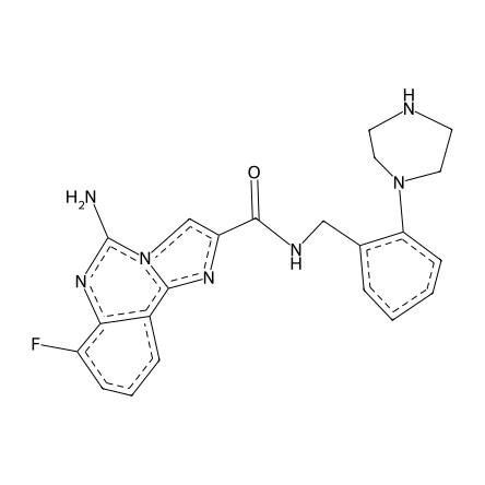 Nc1nc2c(F)cccc2c2nc(C(=O)NCc3ccccc3N3CCNCC3)cn12